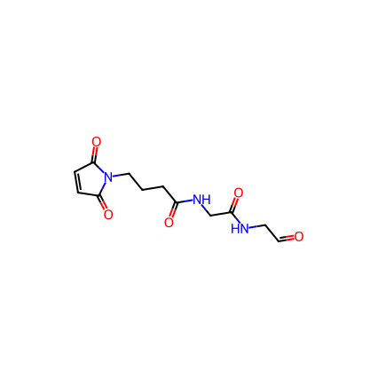 O=CCNC(=O)CNC(=O)CCCN1C(=O)C=CC1=O